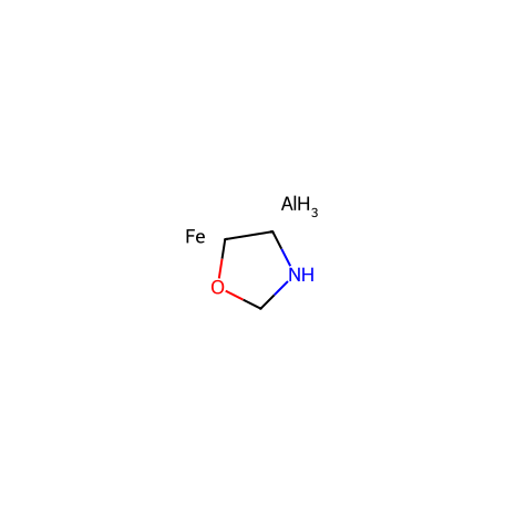 C1COCN1.[AlH3].[Fe]